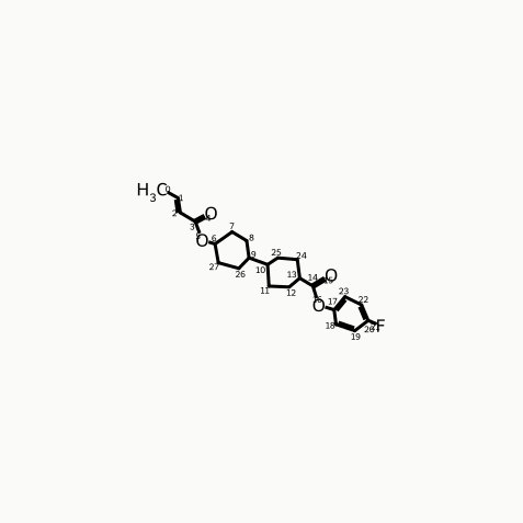 C/C=C/C(=O)OC1CCC(C2CCC(C(=O)Oc3ccc(F)cc3)CC2)CC1